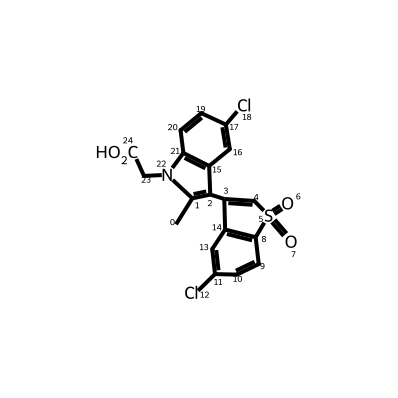 Cc1c(C2=CS(=O)(=O)c3ccc(Cl)cc32)c2cc(Cl)ccc2n1CC(=O)O